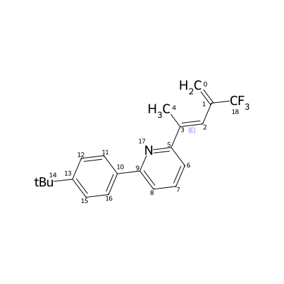 C=C(/C=C(\C)c1cccc(-c2ccc(C(C)(C)C)cc2)n1)C(F)(F)F